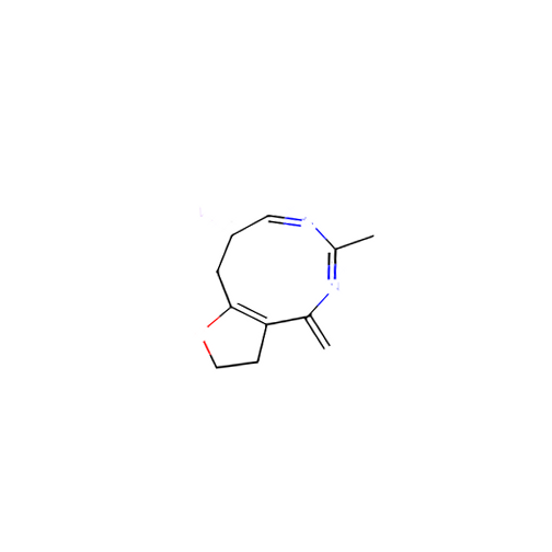 C=C1/N=C(C)\N=C/[C@@H](I)CC2=C1CCO2